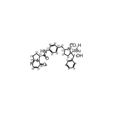 CC(C)(C)[C@@]1([C@H](O)c2ccccc2)CC[C@@H](Cc2ccc(NC(=O)[C@@H]3CCc4nccc(=O)n43)cc2)N1C(=O)O